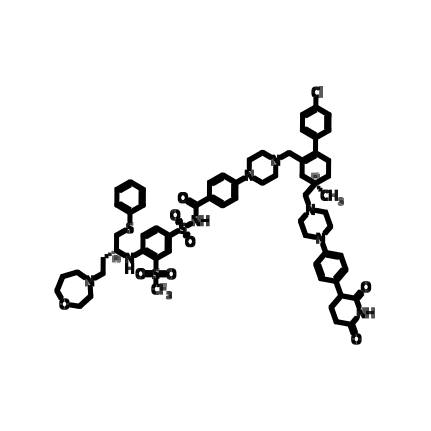 C[C@@]1(CN2CCN(c3ccc(C4CCC(=O)NC4=O)cc3)CC2)CCC(c2ccc(Cl)cc2)=C(CN2CCN(c3ccc(C(=O)NS(=O)(=O)c4ccc(N[C@H](CCN5CCCOCC5)CSc5ccccc5)c(S(=O)(=O)C(F)(F)F)c4)cc3)CC2)C1